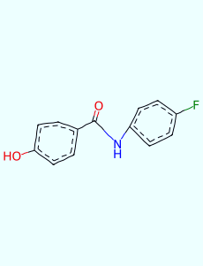 O=C(Nc1ccc(F)cc1)c1ccc(O)cc1